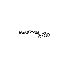 COc1ccc(CCNCCCCC(=O)c2cc3c4c(c2)CCN4C(=O)CC3)cc1